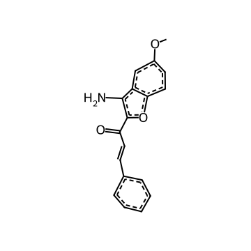 COc1ccc2oc(C(=O)C=Cc3ccccc3)c(N)c2c1